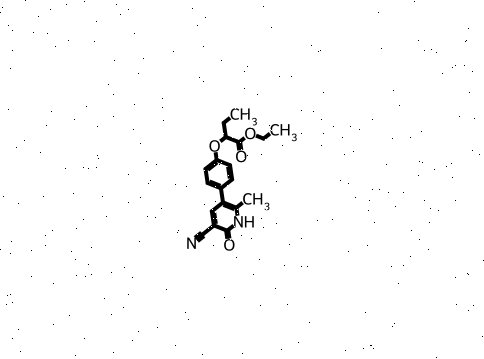 CCOC(=O)C(CC)Oc1ccc(-c2cc(C#N)c(=O)[nH]c2C)cc1